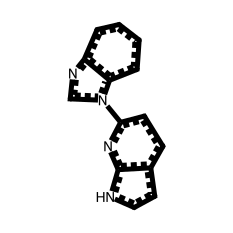 c1ccc2c(c1)ncn2-c1ccc2cc[nH]c2n1